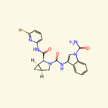 NC(=O)n1cc(NC(=O)N2C[C@H]3C[C@H]3[C@H]2C(=O)Nc2cccc(Br)n2)c2ccccc21